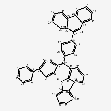 c1ccc(-c2ccc(N(c3ccc(-c4cc5ccccc5c5ccccc45)cc3)c3cccc4c3sc3cccnc34)cc2)cc1